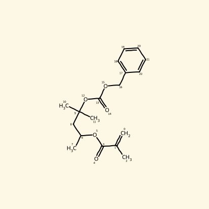 C=C(C)C(=O)OC(C)CC(C)(C)OC(=O)OCc1ccccc1